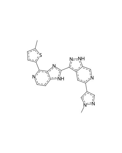 Cc1ccc(-c2nccc3[nH]c(-c4n[nH]c5cnc(-c6cnn(C)c6)cc45)nc23)s1